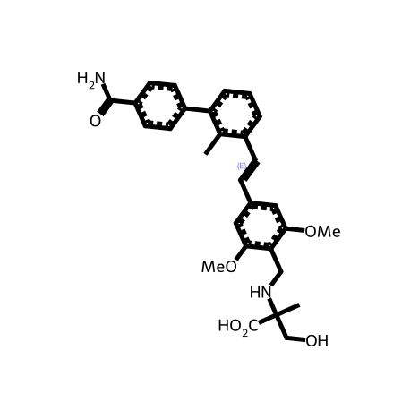 COc1cc(/C=C/c2cccc(-c3ccc(C(N)=O)cc3)c2C)cc(OC)c1CNC(C)(CO)C(=O)O